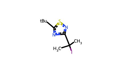 CC(C)(C)c1nc(C(C)(C)I)ns1